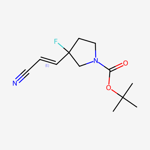 CC(C)(C)OC(=O)N1CCC(F)(/C=C/C#N)C1